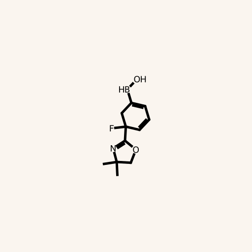 CC1(C)COC(C2(F)C=CC=C(BO)C2)=N1